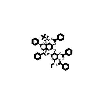 CCS[C@@H]1O[C@H](COCc2ccccc2)[C@@H](O[C@@H]2O[C@@H]3CO[C@@H](c4ccccc4)O[C@H]3[C@H](O[Si](C)(C)C(C)(C)C)[C@H]2OC(=O)c2ccccc2)[C@H](OC(=O)c2ccccc2)[C@H]1OC(=O)c1ccccc1